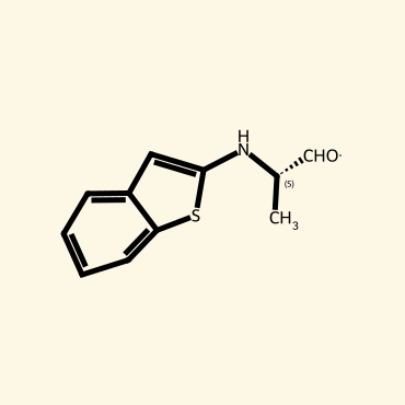 C[C@@H]([C]=O)Nc1cc2ccccc2s1